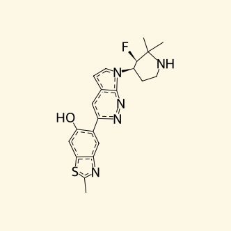 Cc1nc2cc(-c3cc4ccn([C@@H]5CCNC(C)(C)[C@@H]5F)c4nn3)c(O)cc2s1